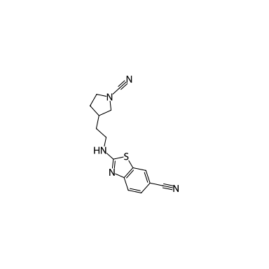 N#Cc1ccc2nc(NCCC3CCN(C#N)C3)sc2c1